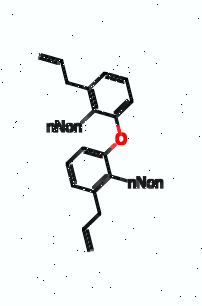 C=CCc1cccc(Oc2cccc(CC=C)c2CCCCCCCCC)c1CCCCCCCCC